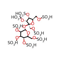 O=S(=O)(O)OCC1O[C@@H](O[C@]2(COS(=O)(=O)O)O[C@H](COS(=O)(=O)O)[C@@H](OS(=O)(=O)O)[C@H]2OS(=O)(=O)O)C(OS(=O)(=O)O)C(OS(=O)(=O)O)[C@@H]1OS(=O)(=O)O